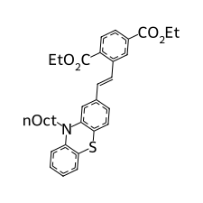 CCCCCCCCN1c2ccccc2Sc2ccc(C=Cc3cc(C(=O)OCC)ccc3C(=O)OCC)cc21